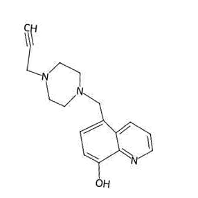 C#CCN1CCN(Cc2ccc(O)c3ncccc23)CC1